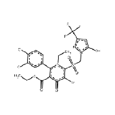 CCOC(=O)c1c(-c2ccc(Cl)c(Cl)c2)n(CC)c(S(=O)(=O)Cn2nc(C(F)(F)F)cc2O)c(Br)c1=O